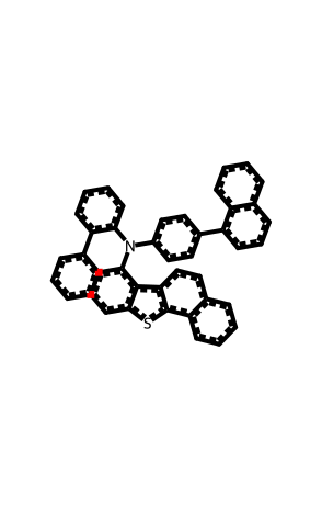 c1ccc(-c2ccccc2N(c2ccc(-c3cccc4ccccc34)cc2)c2cccc3sc4c5ccccc5ccc4c23)cc1